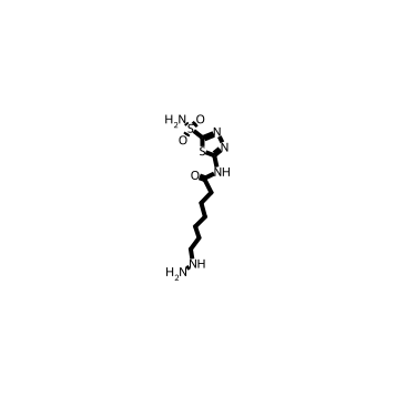 NNCCCCCCC(=O)Nc1nnc(S(N)(=O)=O)s1